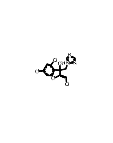 OC(Cn1cncn1)(C(Cl)=CCl)c1ccc(Cl)cc1Cl